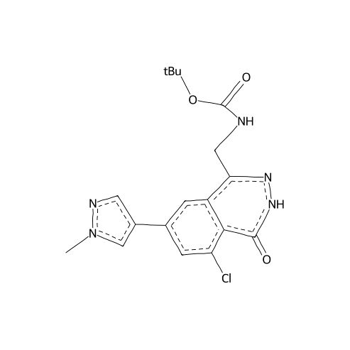 Cn1cc(-c2cc(Cl)c3c(=O)[nH]nc(CNC(=O)OC(C)(C)C)c3c2)cn1